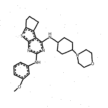 COc1cccc(Nc2nc(NC3CCC(N4CCOCC4)CC3)c3c4c(sc3n2)CCC4)c1